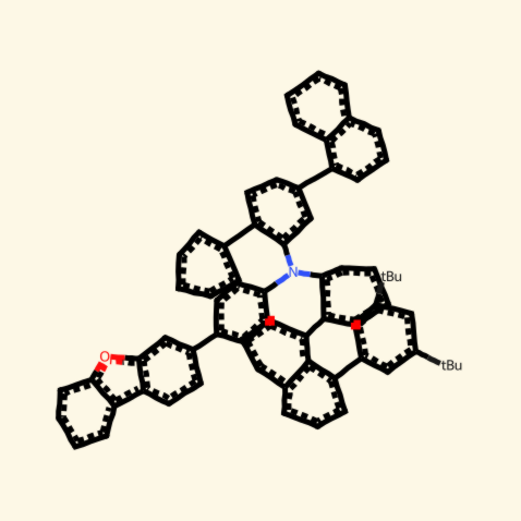 CC(C)(C)c1cc(-c2cccc3cccc(-c4ccccc4N(c4ccc(-c5ccc6c(c5)oc5ccccc56)cc4)c4cc(-c5cccc6ccccc56)ccc4-c4ccccc4)c23)cc(C(C)(C)C)c1